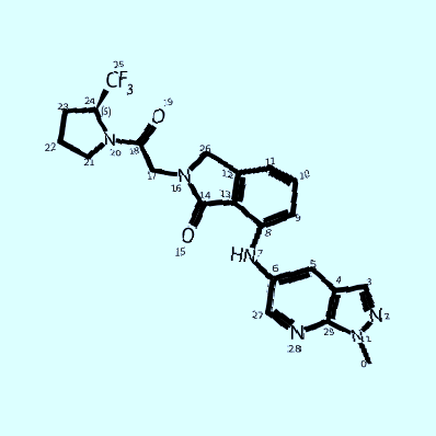 Cn1ncc2cc(Nc3cccc4c3C(=O)N(CC(=O)N3CCC[C@H]3C(F)(F)F)C4)cnc21